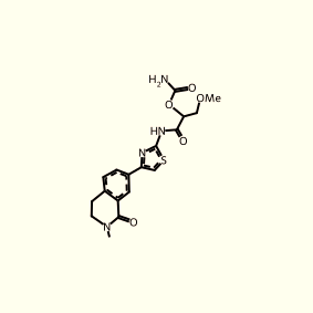 COCC(OC(N)=O)C(=O)Nc1nc(-c2ccc3c(c2)C(=O)N(C)CC3)cs1